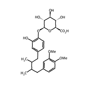 COc1ccc(CC(C)C(C)Cc2ccc(O[C@@H]3O[C@H](C(=O)O)[C@@H](O)[C@H](O)[C@H]3O)c(O)c2)cc1OC